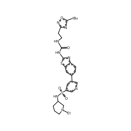 CCN1CCCC(NS(=O)(=O)c2cncc(-c3ccc4nc(NC(=O)NCCc5noc(C(C)(C)C)n5)sc4c3)c2)C1